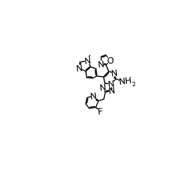 Cn1cnc2ccc(-c3c(-c4ncco4)nc(N)n4nc(Cc5ncccc5F)nc34)cc21